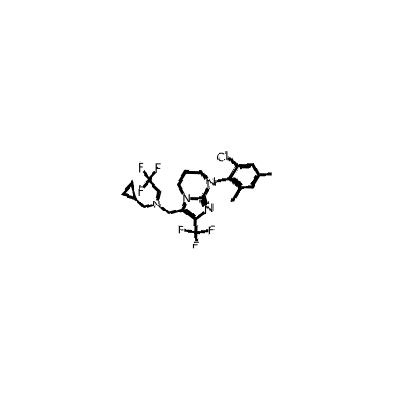 Cc1cc(C)c(N2CCCn3c2nc(C(F)(F)F)c3CN(CC2CC2)CC(F)(F)F)c(Cl)c1